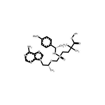 CCCOC(=O)C(C)(C)CCP(=O)(CO[C@H](C)Cn1cnc2c(N)ncnc21)N[C@@H](C)c1ccc(OC)cc1